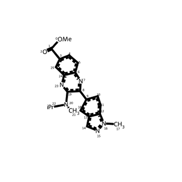 COC(=O)c1ccc2nc(-c3ccc4c(cnn4C)c3)c(N(C)C(C)C)nc2c1